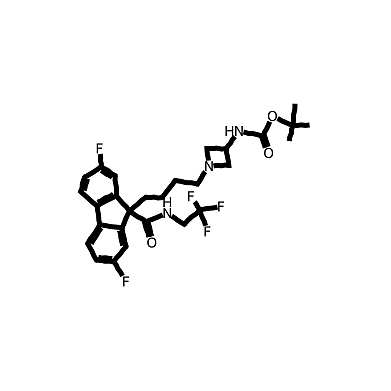 CC(C)(C)OC(=O)NC1CN(CCCCC2(C(=O)NCC(F)(F)F)c3cc(F)ccc3-c3ccc(F)cc32)C1